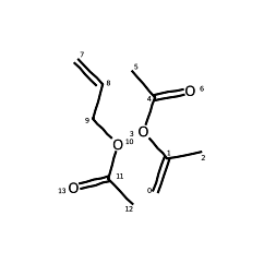 C=C(C)OC(C)=O.C=CCOC(C)=O